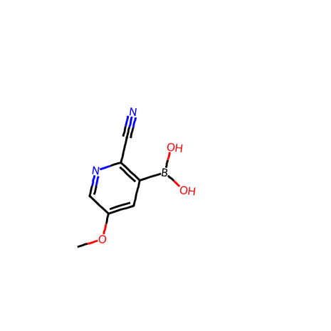 COc1cnc(C#N)c(B(O)O)c1